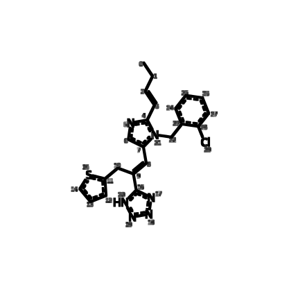 CC/C=C/c1ncc(/C=C(\Cc2cccs2)c2nnn[nH]2)n1Cc1ccccc1Cl